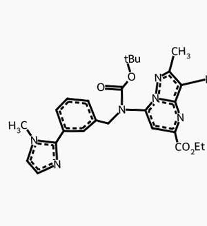 CCOC(=O)c1cc(N(Cc2cccc(-c3nccn3C)c2)C(=O)OC(C)(C)C)n2nc(C)c(I)c2n1